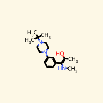 CN/C(=C(\C)O)c1cccc(N2CCN(C(C)(C)C)CC2)c1